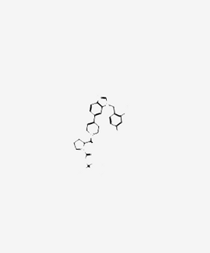 C[C@H](c1ccc(Cl)cc1F)n1cnc2ccc(C3=CCN(C(=O)C4CCCN4C(=O)OC(C)(C)C)CC3)cc21